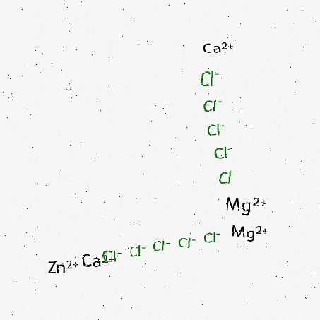 [Ca+2].[Ca+2].[Cl-].[Cl-].[Cl-].[Cl-].[Cl-].[Cl-].[Cl-].[Cl-].[Cl-].[Cl-].[Mg+2].[Mg+2].[Zn+2]